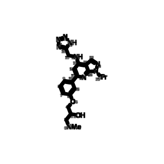 CNCC(O)COc1cccc(-c2cc(NCc3nnn[nH]3)c3cnn(C(C)C)c3n2)c1